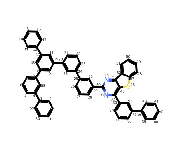 c1ccc(-c2cccc(-c3cc(-c4ccccc4)cc(-c4cccc(-c5cccc(-c6nc(-c7cccc(-c8ccccc8)c7)c7sc8ccccc8c7n6)c5)c4)c3)c2)cc1